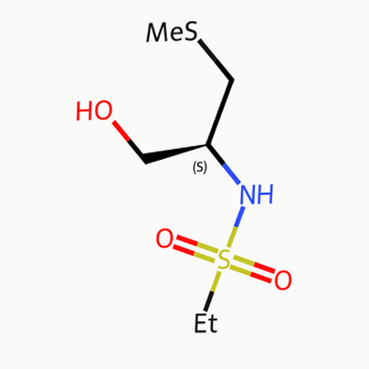 CCS(=O)(=O)N[C@@H](CO)CSC